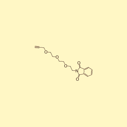 C#CCOCCOCCOCCN1C(=O)c2ccccc2C1=O